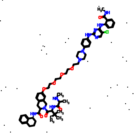 CNC(=O)c1ccccc1Nc1nc(Nc2ccc(N3CCN(CCOCCOCCOCCOc4ccc5c(c4)CN(C(=O)C(NC(=O)C(C)NC)C(C)(C)C)C(C(=O)N[C@@H]4CCCc6ccccc64)C5)CC3)cc2)ncc1Cl